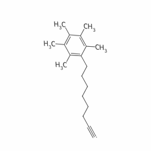 [C]#CCCCCCCc1c(C)c(C)c(C)c(C)c1C